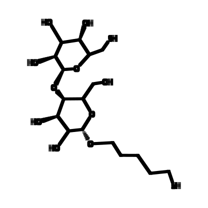 OCC1O[C@H](OCCCCCS)C(O)[C@@H](O)[C@H]1O[C@@H]1OC(CS)[C@H](O)C(O)[C@@H]1O